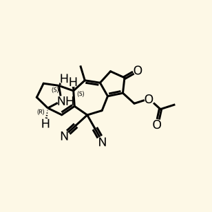 CC(=O)OCC1=C2CC(C#N)(C#N)C3=C[C@H]4CC[C@H](N4)[C@@H]3C(C)=C2CC1=O